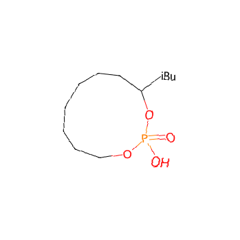 CCC(C)C1CCCCCCCOP(=O)(O)O1